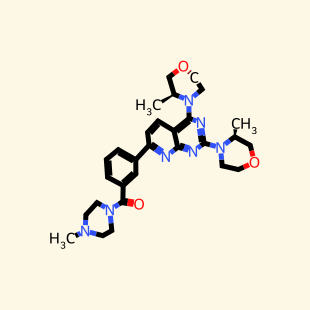 C[C@H]1COCCN1c1nc(N2CCOC[C@@H]2C)c2ccc(-c3cccc(C(=O)N4CCN(C)CC4)c3)nc2n1